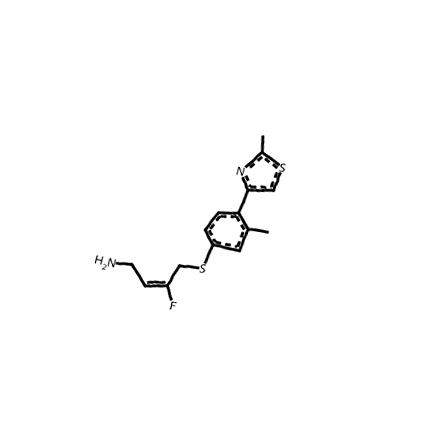 Cc1nc(-c2ccc(SC/C(F)=C\CN)cc2C)cs1